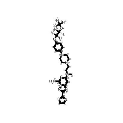 [2H]C([2H])([2H])OC([2H])([2H])C([2H])([2H])Oc1ccc(N2CCN(CCN(C)c3cc4nc(-c5ncco5)nn4c(N)n3)CC2)cc1